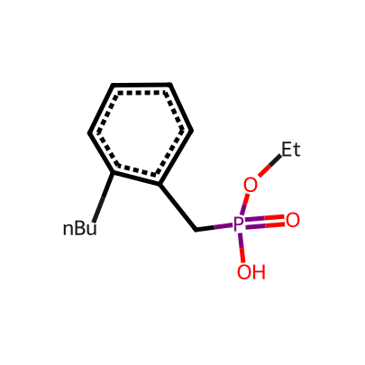 CCCCc1ccccc1CP(=O)(O)OCC